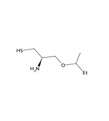 CCC(C)OC[C@@H](N)CS